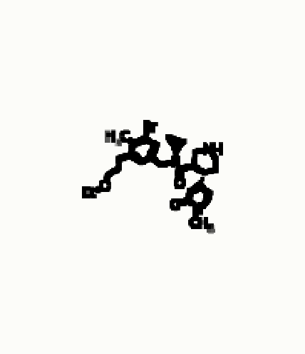 CCOCCCc1cc(CN(C(=O)C2CNCC[C@@H]2c2ccn(C)c(=O)c2)C2CC2)cc(Br)c1C